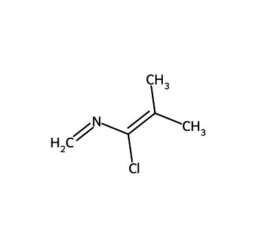 C=NC(Cl)=C(C)C